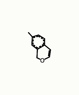 Cc1ccc2c(c1)COC=C2